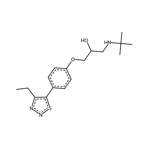 CCc1nnsc1-c1ccc(OCC(O)CNC(C)(C)C)cc1